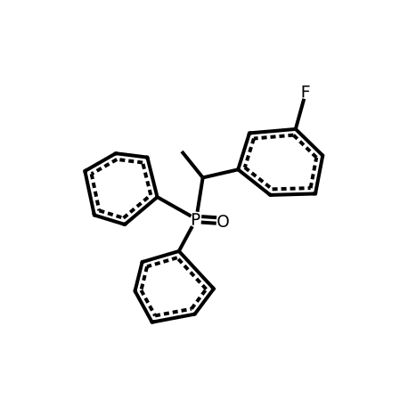 CC(c1cccc(F)c1)P(=O)(c1ccccc1)c1ccccc1